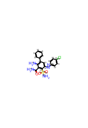 NC(=O)c1c(N)c(-c2ccccc2)cc(Nc2ccc(Cl)cc2)c1S(N)(=O)=O